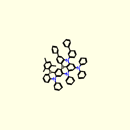 Cc1cc(C)c(B2c3ccccc3N(c3ccccc3)c3cc4c(cc32)B2c3ccc(-c5ccccc5)cc3N(c3cccc(-c5ccccc5)c3)c3cc(N(c5ccccc5)c5ccccc5)cc(c32)N4c2ccccc2)c(C)c1